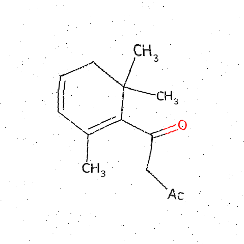 CC(=O)CC(=O)C1=C(C)C=CCC1(C)C